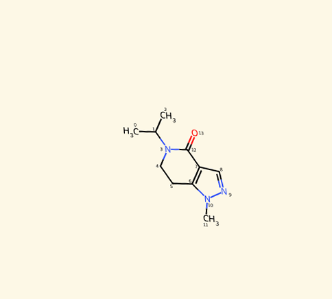 CC(C)N1CCc2c(cnn2C)C1=O